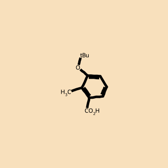 Cc1c(OC(C)(C)C)cccc1C(=O)O